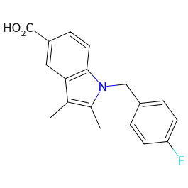 Cc1c(C)n(Cc2ccc(F)cc2)c2ccc(C(=O)O)cc12